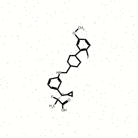 COc1ccc(F)c(C2CCC(CNc3cccc([C@H](C4CC4)C(C)(F)C(=O)O)c3)CC2)c1